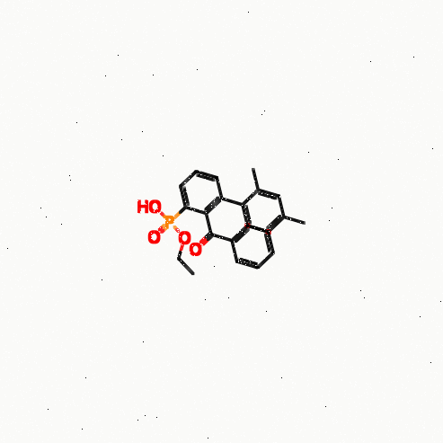 CCOP(=O)(O)c1cccc(-c2c(C)cc(C)cc2C)c1C(=O)c1ccccc1